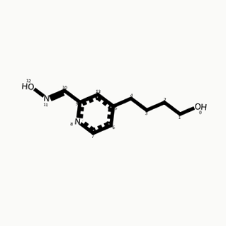 OCCCCc1ccnc(/C=N/O)c1